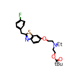 CCN(CCOC(=O)C(C)(C)C)CCOc1ccc2nc(Cc3ccc(F)cc3)sc2c1